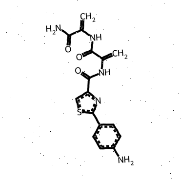 C=C(NC(=O)C(=C)NC(=O)c1csc(-c2ccc(N)cc2)n1)C(N)=O